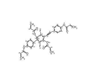 C=CC(=O)Oc1ccc(C#Cc2c(F)c(OC(=O)C=C)c(-c3ccc(OC(=O)C=C)cc3)c(F)c2OC(=O)C=C)cc1